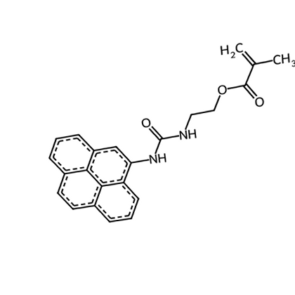 C=C(C)C(=O)OCCNC(=O)Nc1cc2cccc3ccc4cccc1c4c32